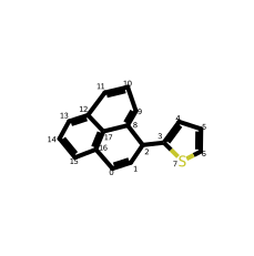 C1=CC(c2cccs2)c2cccc3cccc1c23